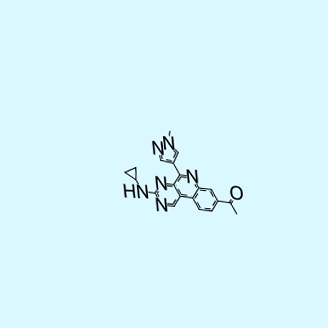 CC(=O)c1ccc2c(c1)nc(-c1cnn(C)c1)c1nc(NC3CC3)ncc12